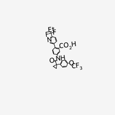 CCC(F)(F)c1ccc(-c2ccc(NC(=O)C3(c4ccc(OC(F)(F)F)cc4)CC3)cc2C(=O)O)cn1